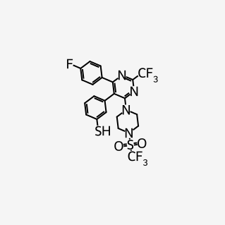 O=S(=O)(N1CCN(c2nc(C(F)(F)F)nc(-c3ccc(F)cc3)c2-c2cccc(S)c2)CC1)C(F)(F)F